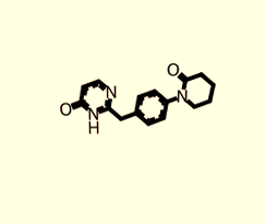 O=C1CCCCN1c1ccc(Cc2nccc(=O)[nH]2)cc1